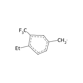 [CH2]c1ccc(CC)c(C(F)(F)F)c1